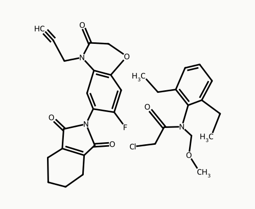 C#CCN1C(=O)COc2cc(F)c(N3C(=O)C4=C(CCCC4)C3=O)cc21.CCc1cccc(CC)c1N(COC)C(=O)CCl